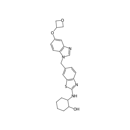 OC1CCCCC1Nc1nc2ccc(Cn3cnc4cc(OC5COC5)ccc43)cc2s1